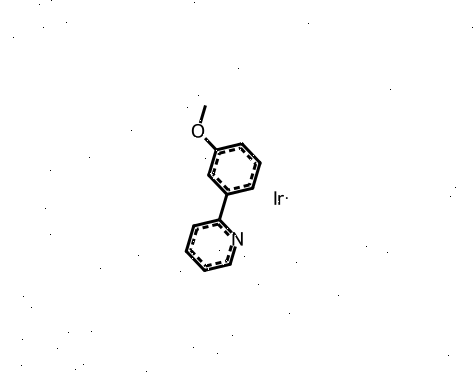 COc1cccc(-c2ccccn2)c1.[Ir]